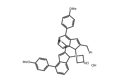 COc1ccc(-c2cccc3c2C=C(CC(C)C)[CH]3[Hf]2([CH]3C(CC(C)C)=Cc4c(-c5ccc(OC)cc5)cccc43)[CH2]C[CH2]2)cc1.Cl.Cl